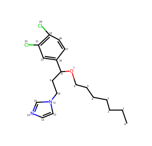 CCCCCCCOC(CCn1ccnc1)c1ccc(Cl)c(Cl)c1